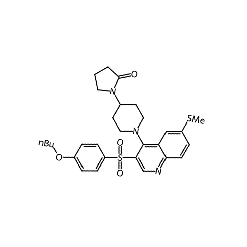 CCCCOc1ccc(S(=O)(=O)c2cnc3ccc(SC)cc3c2N2CCC(N3CCCC3=O)CC2)cc1